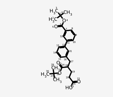 CC(C)(C)OC(=O)c1cccc(-c2cccc(CC(CCC(=O)O)C(=O)OC(C)(C)C)c2)c1